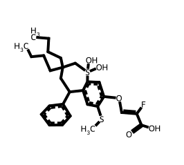 CCCCC1(CCCC)CC(c2ccccc2)c2cc(SC)c(O/C=C(\F)C(=O)O)cc2S(O)(O)C1